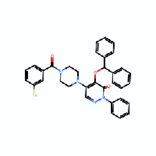 O=C(c1cccc(S)c1)N1CCN(c2cnn(-c3ccccc3)c(=O)c2OC(c2ccccc2)c2ccccc2)CC1